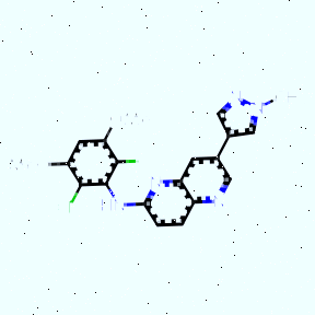 COc1cc(OC)c(Cl)c(Nc2ccc3ncc(-c4cnn(C)c4)cc3n2)c1Cl